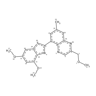 COCc1cnc2c(-c3nc4c(OC)cc(OC)cc4s3)cc(C)cc2n1